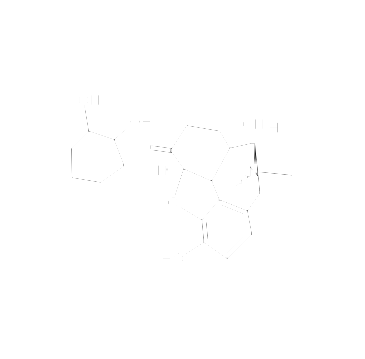 CN1CC[C@]23c4c5ccc(O)c4O[C@H]2C(=O)CC[C@@]3(O)[C@H]1C5.OC1CCCCC1O